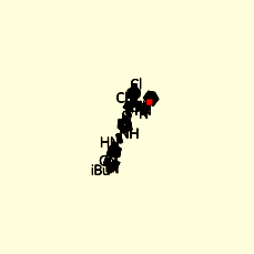 CCC(C)n1ncn(-c2ccc(NCCNc3ccc(OC[C@@H]4CO[C@@](Cn5nnnc5-c5ccccc5)(c5ccc(Cl)cc5Cl)O4)cc3)cc2)c1=O